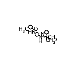 Cc1cccc(C(=O)NC2CCC(Nc3cc(N(C)C)c4ccccc4n3)CC2)c1